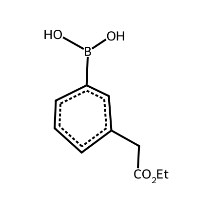 CCOC(=O)Cc1cccc(B(O)O)c1